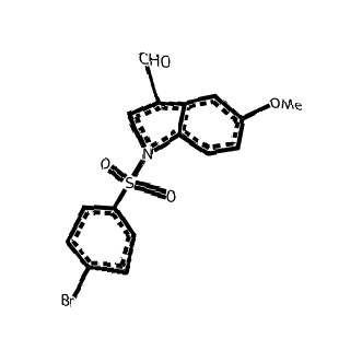 COc1ccc2c(c1)c(C=O)cn2S(=O)(=O)c1ccc(Br)cc1